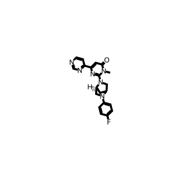 Cn1c(N2CC3C[C@H]2CN3c2ccc(F)cc2)nc(-c2ccncn2)cc1=O